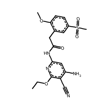 CCOc1nc(NC(=O)Cc2cc(S(C)(=O)=O)ccc2OC)cc(N)c1C#N